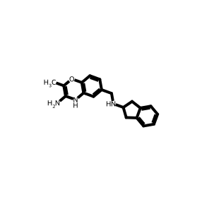 CC1=C(N)Nc2cc(CNC3Cc4ccccc4C3)ccc2O1